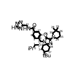 CC(C)CC[C@H](c1ccc(C(=O)NCc2nn[nH]n2)cc1)N1C(=O)C(N2CCCC(C)(C)C2)=NC12CCC(C(C)(C)C)CC2